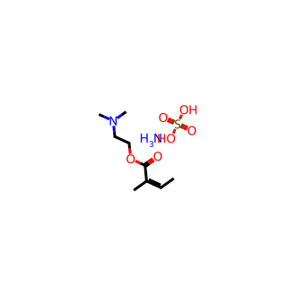 CC=C(C)C(=O)OCCN(C)C.N.O=S(=O)(O)O